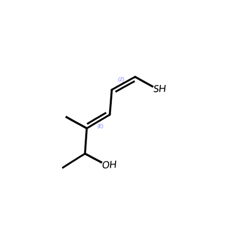 C/C(=C\C=C/S)C(C)O